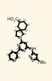 CC(C)(C)c1cc(Nc2cc(N3CCC4(CCCC(C(=O)O)C4)C3)nc(-c3cccnc3)n2)ns1